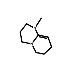 CN1CCCN2CCCC=C12